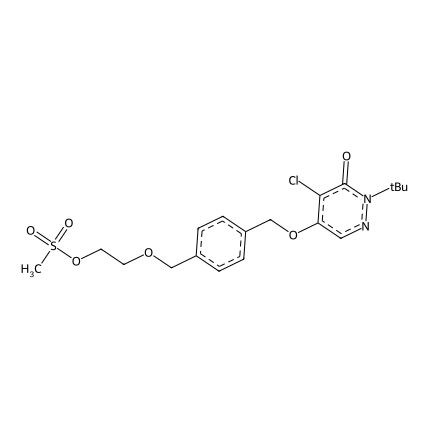 CC(C)(C)n1ncc(OCc2ccc(COCCOS(C)(=O)=O)cc2)c(Cl)c1=O